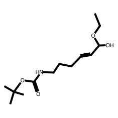 CCOC(O)/C=C/CCCNC(=O)OC(C)(C)C